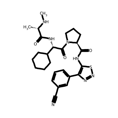 CN[C@@H](C)C(=O)N[C@H](C(=O)N1CCC[C@H]1C(=O)Nc1snnc1-c1cccc(C#N)c1)C1CCCCC1